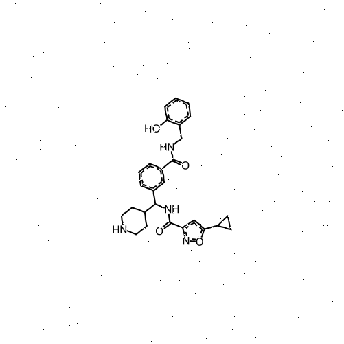 O=C(NCc1ccccc1O)c1cccc(C(NC(=O)c2cc(C3CC3)on2)C2CCNCC2)c1